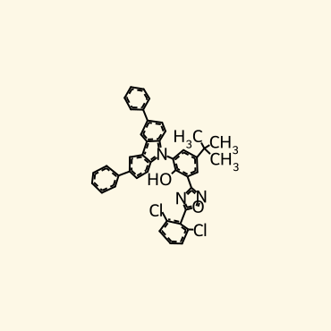 CC(C)(C)c1cc(-c2noc(-c3c(Cl)cccc3Cl)n2)c(O)c(-n2c3ccc(-c4ccccc4)cc3c3cc(-c4ccccc4)ccc32)c1